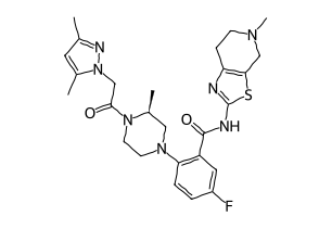 Cc1cc(C)n(CC(=O)N2CCN(c3ccc(F)cc3C(=O)Nc3nc4c(s3)CN(C)CC4)C[C@@H]2C)n1